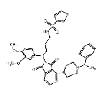 COc1ccc(C(CCCNS(=O)(=O)c2ccsc2)N2C(=O)c3cccc(N4CCN(C(C)c5ccccc5)CC4)c3C2=O)cc1OC